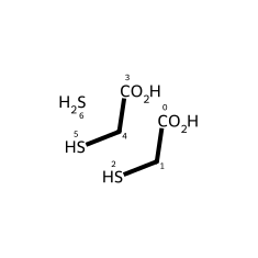 O=C(O)CS.O=C(O)CS.S